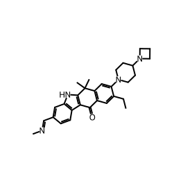 CCc1cc2c(cc1N1CCC(N3CCC3)CC1)C(C)(C)c1[nH]c3cc(/C=N/C)ccc3c1C2=O